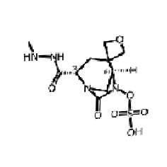 CNNC(=O)[C@@H]1CC2(COC2)[C@@H]2CN1C(=O)N2OS(=O)(=O)O